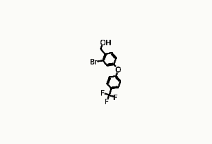 OCc1ccc(Oc2ccc(C(F)(F)F)cc2)cc1Br